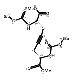 COC(=O)[C@H](CC#CC[C@H](NC(=O)OC(C)(C)C)C(=O)OC)NC(=O)OC(C)(C)C